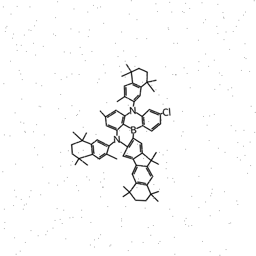 Cc1cc2c3c(c1)N(c1cc4c(cc1C)C(C)(C)CCC4(C)C)c1cc4c(cc1B3c1ccc(Cl)cc1N2c1cc2c(cc1C)C(C)(C)CCC2(C)C)C(C)(C)c1cc2c(cc1-4)C(C)(C)CCC2(C)C